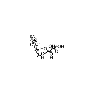 CC(C)=O.CC(C)=O.O=C(CO)[C@@H](O)[C@H](O)[C@H](O)CO.O=S(=O)([O-])[O-].[K+].[K+]